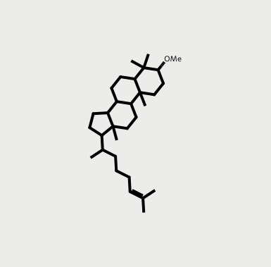 COC1CCC2(C)C3CCC4(C)C(C(C)CCCC=C(C)C)CCC4C3CCC2C1(C)C